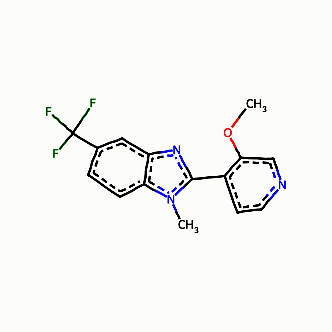 COc1cnccc1-c1nc2cc(C(F)(F)F)ccc2n1C